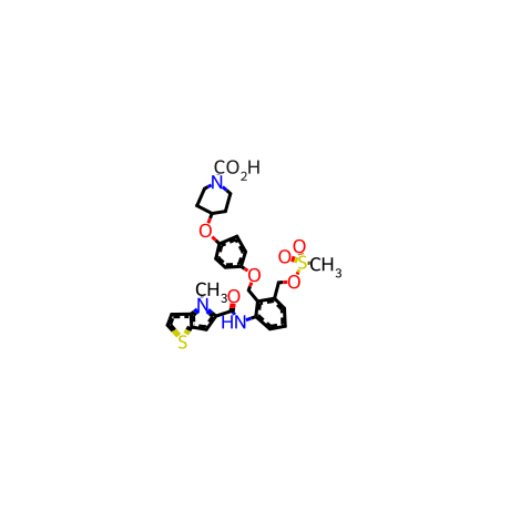 Cn1c(C(=O)Nc2cccc(COS(C)(=O)=O)c2COc2ccc(OC3CCN(C(=O)O)CC3)cc2)cc2sccc21